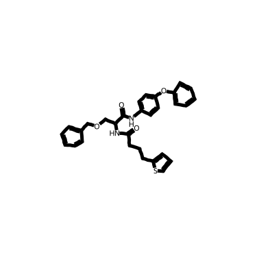 O=C(CCCc1cccs1)NC(COCc1ccccc1)C(=O)Nc1ccc(Oc2ccccc2)cc1